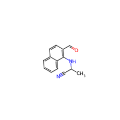 CC(C#N)Nc1c(C=O)ccc2ccccc12